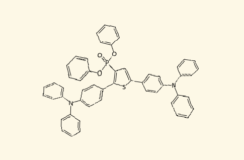 O=P(Oc1ccccc1)(Oc1ccccc1)c1cc(-c2ccc(N(c3ccccc3)c3ccccc3)cc2)sc1-c1ccc(N(c2ccccc2)c2ccccc2)cc1